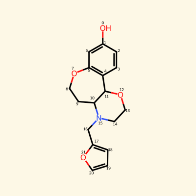 Oc1ccc2c(c1)OCCC1C2OCCN1Cc1ccco1